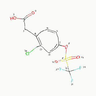 O=C(O)Cc1ccc(OS(=O)(=O)C(F)(F)F)cc1Cl